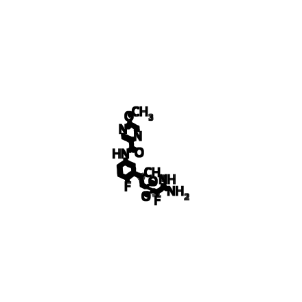 COc1cnc(C(=O)Nc2ccc(F)c([C@H](C)CS(=O)(=O)[C@H](F)C(=N)N)c2)cn1